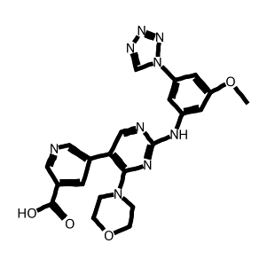 COc1cc(Nc2ncc(-c3cncc(C(=O)O)c3)c(N3CCOCC3)n2)cc(-n2cnnn2)c1